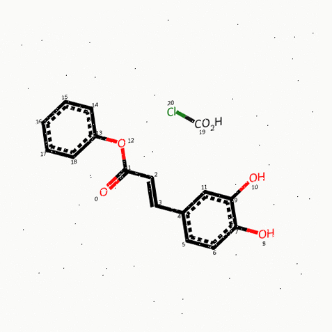 O=C(/C=C/c1ccc(O)c(O)c1)Oc1ccccc1.O=C(O)Cl